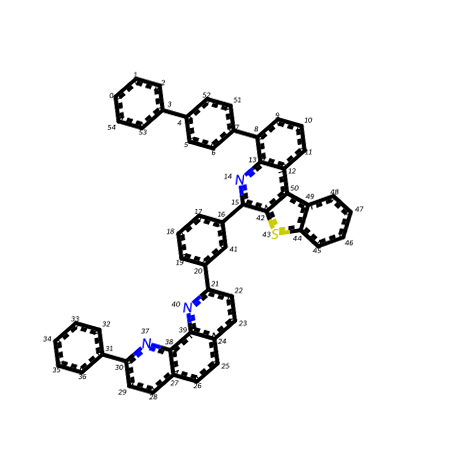 c1ccc(-c2ccc(-c3cccc4c3nc(-c3cccc(-c5ccc6ccc7ccc(-c8ccccc8)nc7c6n5)c3)c3sc5ccccc5c34)cc2)cc1